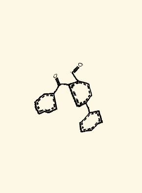 O=[C]c1ccc(-c2ccccc2)cc1C(=O)c1ccccc1